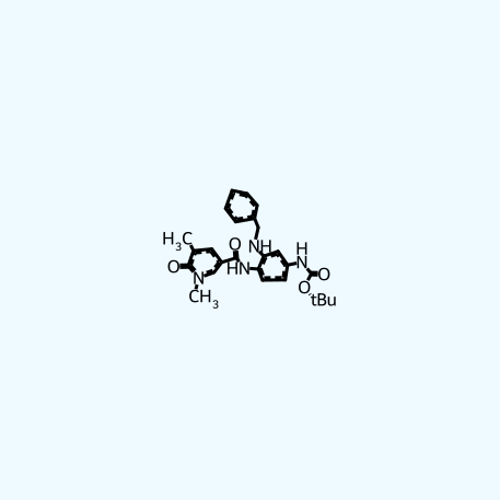 Cc1cc(C(=O)Nc2ccc(NC(=O)OC(C)(C)C)cc2NCc2ccccc2)cn(C)c1=O